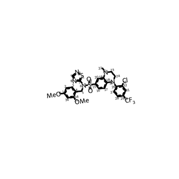 COc1ccc(CN(c2ncns2)S(=O)(=O)c2ccc3c(c2)N(C)CCN3c2ccc(C(F)(F)F)cc2Cl)c(OC)c1